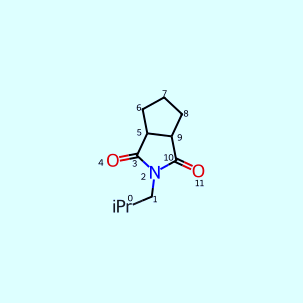 CC(C)CN1C(=O)C2CCCC2C1=O